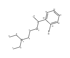 [CH2]C(OCCN(CC)CC)c1ccccc1F